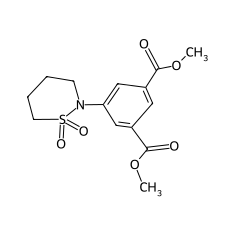 COC(=O)c1cc(C(=O)OC)cc(N2CCCCS2(=O)=O)c1